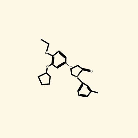 CCOc1ccc([C@@H]2CC(=O)N(c3cccc(C)c3)C2)cc1OC1CCCC1